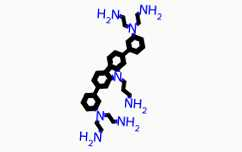 NCCCn1c2cc(-c3cccc(N(CCN)CCN)c3)ccc2c2ccc(-c3cccc(N(CCN)CCN)c3)cc21